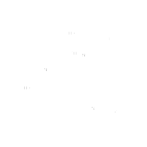 CCc1ncc(Cc2cc(Cc3cc(C)cnc3CC)cnc2CC)cc1F